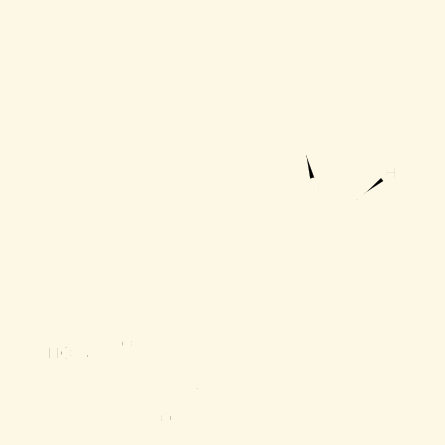 C[C@H](CCCC1(C)OC1OS(=O)(=O)O)[C@H]1CC[C@H]2[C@@H]3CCC4CCCC[C@]4(C)[C@H]3CC[C@]12C